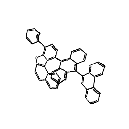 c1ccc(-c2ccc(-c3c4ccccc4c(-c4cc5ccccc5c5ccccc45)c4ccccc34)c3c2oc2ccc4ccccc4c23)cc1